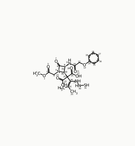 COC(=O)CN1C(=O)[C@@H](NC(=O)COc2ccccc2)[C@H]1C(C(=O)O)(C(=O)O)C(NNS)=C(C)C